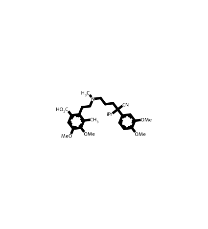 COc1ccc(C(C#N)(CCCN(C)CCc2c(C(=O)O)cc(OC)c(OC)c2C)C(C)C)cc1OC